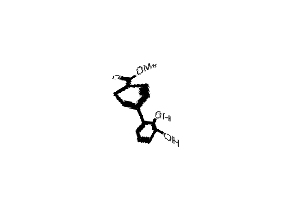 COC(=O)c1ccc(-c2cccc(O)c2O)cc1